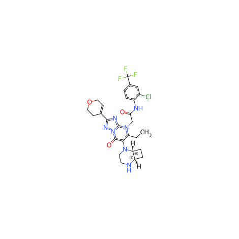 CCc1c(N2CCN[C@H]3CC[C@H]32)c(=O)n2nc(C3=CCOCC3)nc2n1CC(=O)Nc1ccc(C(F)(F)F)cc1Cl